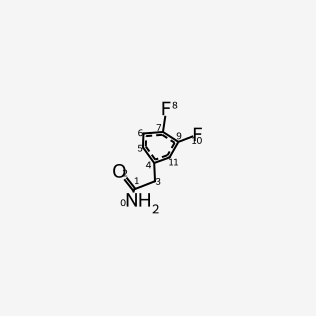 NC(=O)Cc1ccc(F)c(F)c1